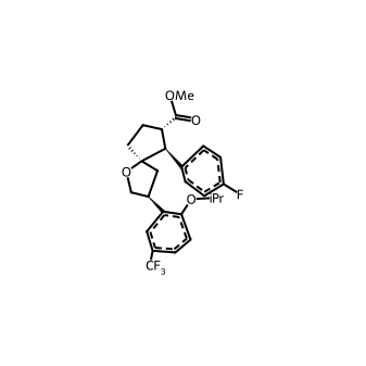 COC(=O)[C@H]1CC[C@@]2(C[C@@H](c3cc(C(F)(F)F)ccc3OC(C)C)CO2)[C@@H]1c1ccc(F)cc1